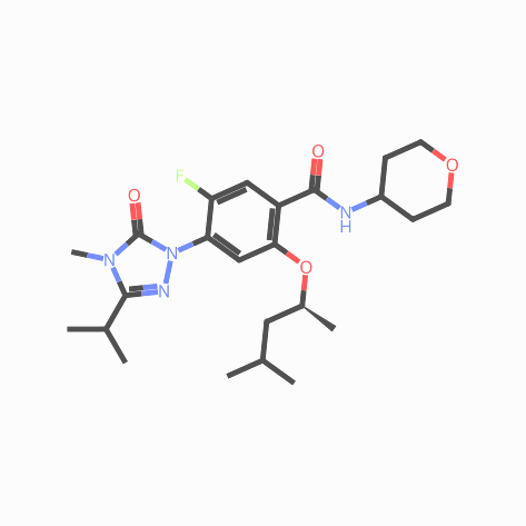 CC(C)C[C@H](C)Oc1cc(-n2nc(C(C)C)n(C)c2=O)c(F)cc1C(=O)NC1CCOCC1